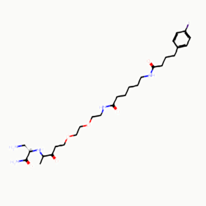 CC(N[C@H](CN)C(N)=O)C(=O)CCOCCOCCNC(=O)CCCCCNC(=O)CCCc1ccc(I)cc1